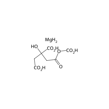 O=C(O)CC(O)(CC(=O)OC(=O)O)C(=O)O.[MgH2]